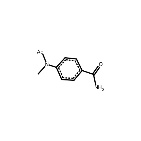 CC(=O)N(C)c1ccc(C(N)=O)cc1